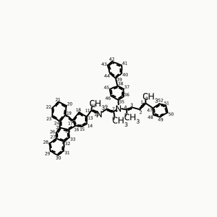 C/C(=C\C=C(/C)N(/C(C)=C/N=C(\C)c1ccc2c(c1)c1ccccc1c1cc3ccccc3cc21)c1ccc(-c2ccccc2)cc1)c1ccccc1